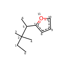 CCC(C)(C)C(C)c1ccco1